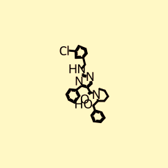 O=C(c1cnc(NCc2cccc(Cl)c2)nc1-c1ccccc1)N1CCCCC1C(O)c1ccccc1